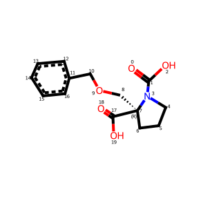 O=C(O)N1CCC[C@@]1(COCc1ccccc1)C(=O)O